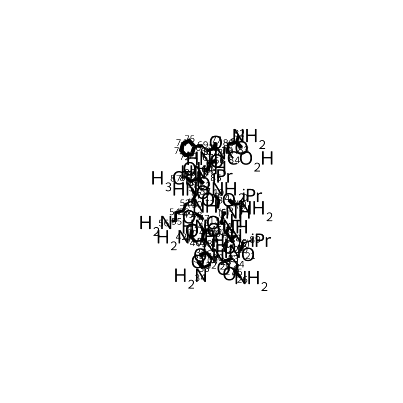 CC(C)[C@H](N)C(=O)N[C@@H](CCC(N)=O)C(=O)N[C@H](C(=O)N[C@H](C(=O)N[C@@H](CC(N)=O)C(=O)N[C@@H](CC(N)=O)C(=O)N[C@@H](CC(N)=O)C(=O)NCC(=O)N[C@@H](CCCCN)C(=O)N[C@H](C(=O)N[C@H](C(=O)N[C@@H](Cc1ccccc1)C(=O)N[C@@H](CC(N)=O)C(=O)O)C(C)C)[C@@H](C)O)C(C)C)C(C)C